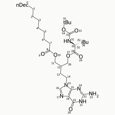 CCCCCCCCCCCCCCCCCC(=O)OCC(CCn1cnc2c(=O)[nH]c(N)nc21)COC(=O)[C@@H](NC(=O)OC(C)(C)C)[C@@H](C)CC